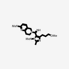 CNc1ccc2c(n1)CCN(C(=N)c1c(CCCOC)nc(C)n1NC)C2